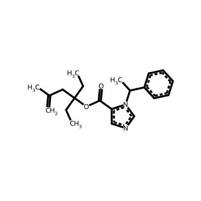 C=C(C)CC(CC)(CC)OC(=O)c1cncn1C(C)c1ccccc1